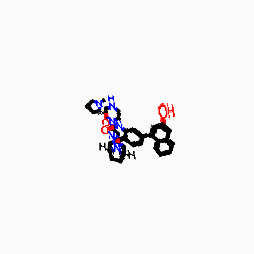 CN1CCC[C@H]1COc1nc(N2[C@@H]3CC[C@H]2CN(CC(=O)N2CCNCC2)C3)c2ccc(-c3cc(O)cc4ccccc34)cc2n1